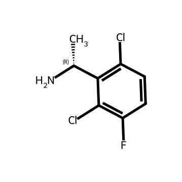 C[C@@H](N)c1c(Cl)ccc(F)c1Cl